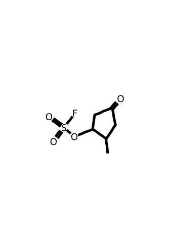 CC1CC(=O)CC1OS(=O)(=O)F